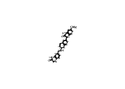 COc1cnc2nc(-c3cnc4c(c3)CCC(NCc3ccc5c(n3)NC(=O)CO5)C4)c(=O)[nH]c2c1